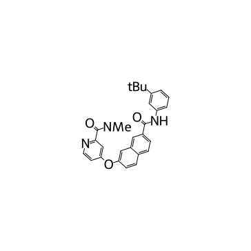 CNC(=O)c1cc(Oc2ccc3ccc(C(=O)Nc4cccc(C(C)(C)C)c4)cc3c2)ccn1